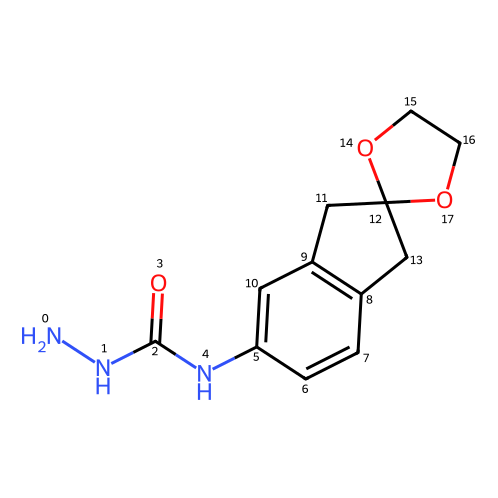 NNC(=O)Nc1ccc2c(c1)CC1(C2)OCCO1